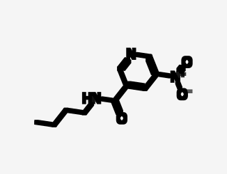 CCCCNC(=O)c1cncc([N+](=O)[O-])c1